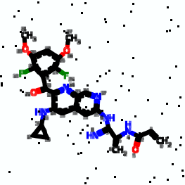 C=CC(=O)NC(=C)C(=N)Nc1cc2cc(NC3CC3)c(C(=O)c3c(F)c(OC)cc(OC)c3F)nc2cn1